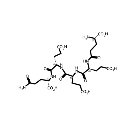 NC(=O)CC[C@H](NC(=O)[C@H](CCC(=O)O)NC(=O)[C@H](CCC(=O)O)NC(=O)[C@H](CCC(=O)O)NC(=O)CC[C@H](N)C(=O)O)C(=O)O